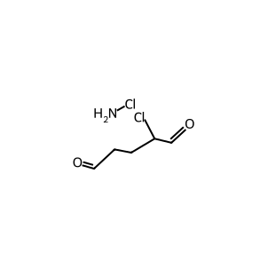 NCl.O=CCCC(Cl)C=O